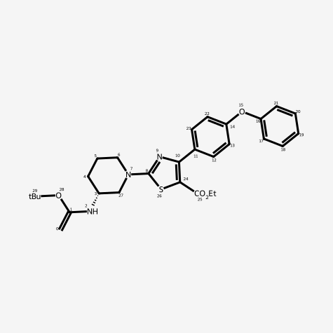 C=C(N[C@@H]1CCCN(c2nc(-c3ccc(Oc4ccccc4)cc3)c(C(=O)OCC)s2)C1)OC(C)(C)C